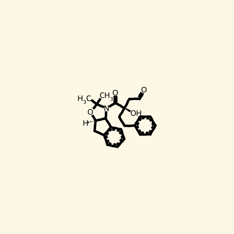 CC1(C)O[C@@H]2Cc3ccccc3C2N1C(=O)[C@](O)(CC=O)CCc1ccccc1